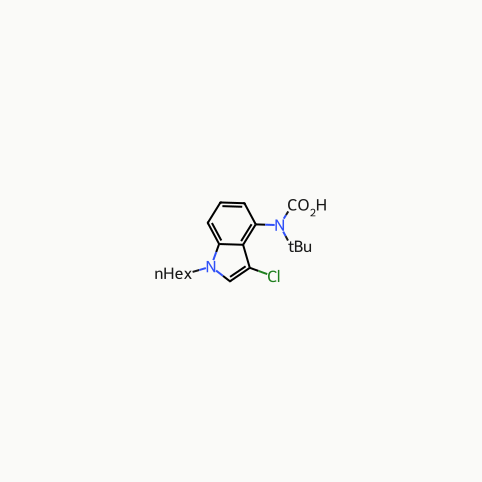 CCCCCCn1cc(Cl)c2c(N(C(=O)O)C(C)(C)C)cccc21